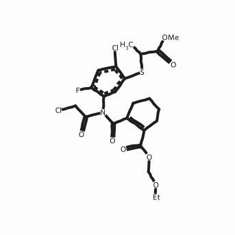 CCOCOC(=O)C1=C(C(=O)N(C(=O)CCl)c2cc(SC(C)C(=O)OC)c(Cl)cc2F)CCCC1